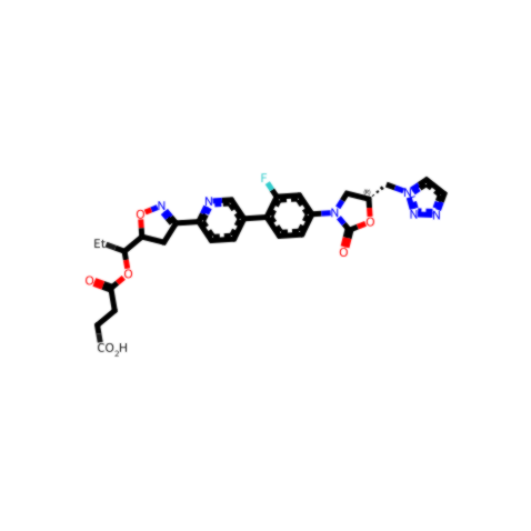 CCC(OC(=O)CCC(=O)O)C1CC(c2ccc(-c3ccc(N4C[C@H](Cn5ccnn5)OC4=O)cc3F)cn2)=NO1